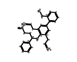 C=CCc1cc(-c2ccccc2OCC)cc(CC=C)c1OC(CCNC)c1ccccc1